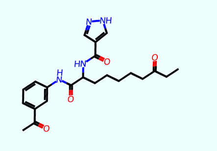 CCC(=O)CCCCCC(NC(=O)c1cn[nH]c1)C(=O)Nc1cccc(C(C)=O)c1